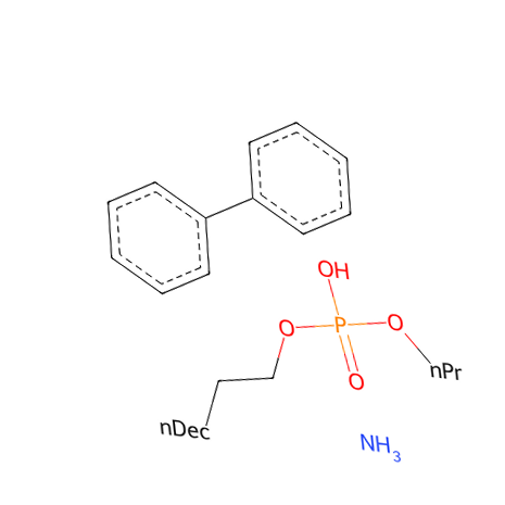 CCCCCCCCCCCCOP(=O)(O)OCCC.N.c1ccc(-c2ccccc2)cc1